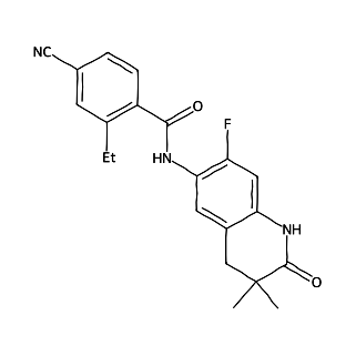 CCc1cc(C#N)ccc1C(=O)Nc1cc2c(cc1F)NC(=O)C(C)(C)C2